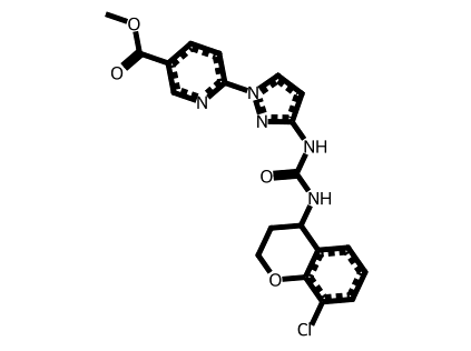 COC(=O)c1ccc(-n2ccc(NC(=O)NC3CCOc4c(Cl)cccc43)n2)nc1